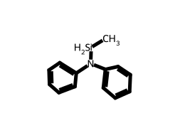 C[SiH2]N(c1ccccc1)c1ccccc1